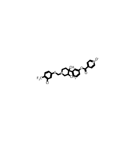 CC1CN(CSc2ccc(C(F)(F)F)c(Cl)c2)CCC1(C)c1cccc(OC(=O)c2cc[n+]([O-])cc2)c1